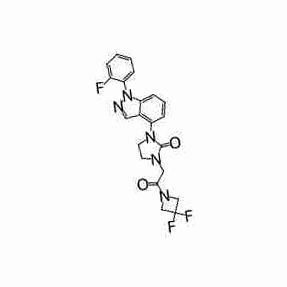 O=C(CN1CCN(c2cccc3c2cnn3-c2ccccc2F)C1=O)N1CC(F)(F)C1